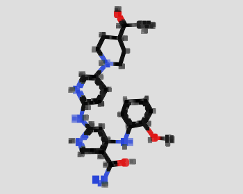 CCOc1ccccc1Nc1cc(Nc2ccc(N3CCC(C(=O)OC)CC3)cn2)ncc1C(N)=O